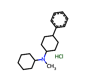 CN(C1CCCCC1)C1CCC(c2ccccc2)CC1.Cl